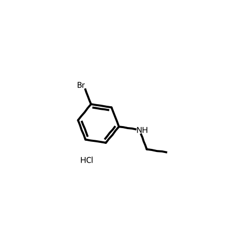 CCNc1cccc(Br)c1.Cl